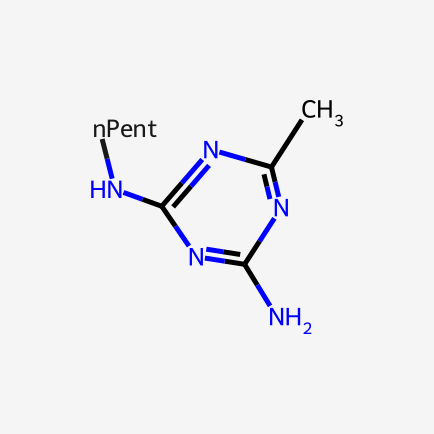 CCCCCNc1nc(C)nc(N)n1